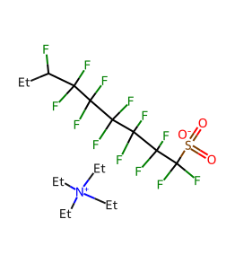 CCC(F)C(F)(F)C(F)(F)C(F)(F)C(F)(F)C(F)(F)C(F)(F)S(=O)(=O)[O-].CC[N+](CC)(CC)CC